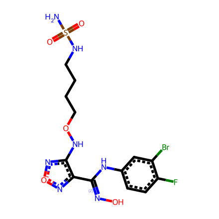 NS(=O)(=O)NCCCCONc1nonc1/C(=N/O)Nc1ccc(F)c(Br)c1